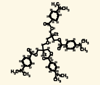 CCC(COCC(CC)(COC(=O)c1ccc(N(C)C)cc1)COC(=O)c1ccc(N(C)C)cc1)(COC(=O)c1ccc(N(C)C)cc1)COC(=O)c1ccc(N(C)C)cc1